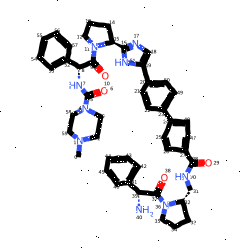 CN1CCN(C(=O)N[C@@H](C(=O)N2CCC[C@H]2c2ncc(-c3ccc(-c4ccc(C(=O)NC[C@@H]5CCCN5C(=O)[C@H](N)c5ccccc5)cc4)cc3)[nH]2)c2ccccc2)CC1